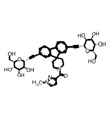 Cn1ccc(C(=O)N2CCC3(CC2)c2cc(C#C[C@H]4O[C@H](CO)[C@@H](O)[C@H](O)[C@@H]4O)ccc2-c2ccc(C#C[C@H]4O[C@H](CO)[C@@H](O)[C@H](O)[C@@H]4O)cc23)n1